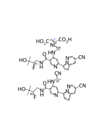 C[C@H](C#N)Nc1cc(-c2ccc3cc(C#N)cnn23)ncc1C(=O)NC[C@@H](F)C(C)(C)O.C[C@H](C#N)Nc1cc(-c2ccc3cc(C#N)cnn23)ncc1C(=O)NC[C@@H](F)C(C)(C)O.O=C(O)/C=C/C(=O)O